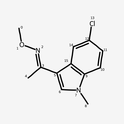 CON=C(C)c1cn(C)c2ccc(Cl)cc12